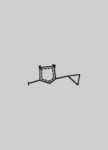 Ic1cc(C2CC2)ns1